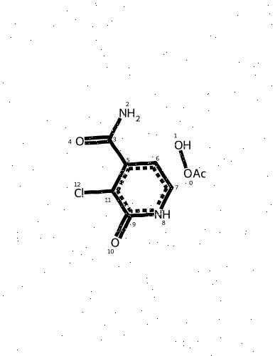 CC(=O)OO.NC(=O)c1cc[nH]c(=O)c1Cl